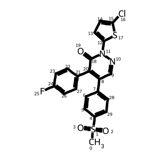 CS(=O)(=O)c1ccc(-c2cnn(-c3ccc(Cl)s3)c(=O)c2-c2ccc(F)cc2)cc1